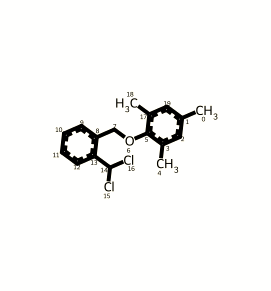 Cc1cc(C)c(OCc2ccccc2C(Cl)Cl)c(C)c1